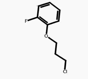 Fc1[c]cccc1OCCCCl